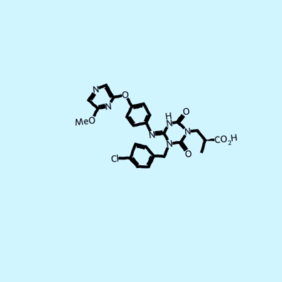 COc1cncc(Oc2ccc(/N=c3\[nH]c(=O)n(C[C@H](C)C(=O)O)c(=O)n3Cc3ccc(Cl)cc3)cc2)n1